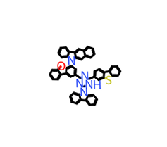 c1ccc2cc3c(cc2c1)c1ccccc1n3-c1cc(C2=NC(n3c4ccccc4c4ccccc43)NC(c3ccc4c(c3)sc3ccccc34)=N2)cc2c1oc1ccccc12